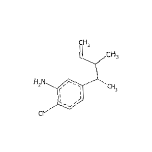 C=CC(C)C(C)c1ccc(Cl)c(N)c1